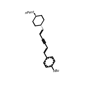 CCCCC[C@H]1CC[C@H](C=CC#CC=Cc2ccc(CCCC)cc2)CC1